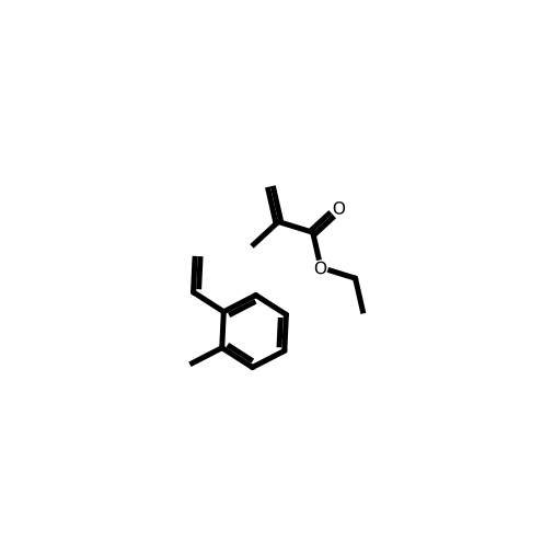 C=C(C)C(=O)OCC.C=Cc1ccccc1C